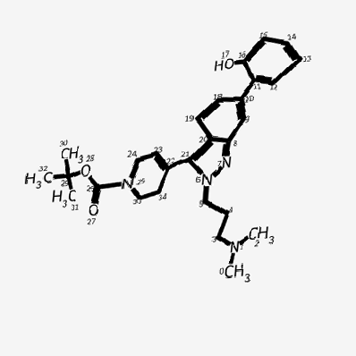 CN(C)CCCn1nc2cc(-c3ccccc3O)ccc2c1C1=CCN(C(=O)OC(C)(C)C)CC1